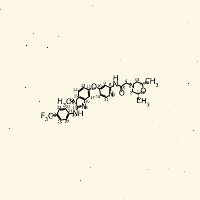 C[C@@H]1CN(CC(=O)Nc2cc(Oc3ccc4c(c3)nc(Nc3ccc(C(F)(F)F)cc3)n4C)ccn2)C[C@H](C)O1